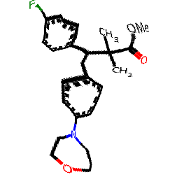 COC(=O)C(C)(C)C(c1ccc(F)cc1)c1ccc(N2CCOCC2)cc1